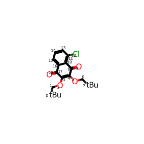 CC(C)(C)COC1=C(OCC(C)(C)C)C(=O)c2c(Cl)cccc2C1=O